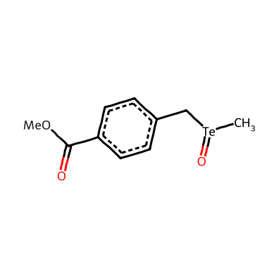 COC(=O)c1ccc(C[Te](C)=O)cc1